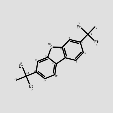 CCC(C)(CC)c1ccc2c(c1)sc1cc(C(C)(CC)CC)ccc12